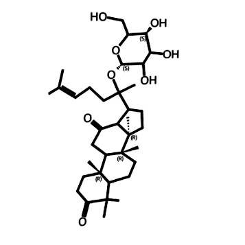 CC(C)=CCCC(C)(O[C@@H]1OC(CO)[C@@H](O)C(O)C1O)C1CC[C@]2(C)C1C(=O)CC1[C@@]3(C)CCC(=O)C(C)(C)C3CC[C@]12C